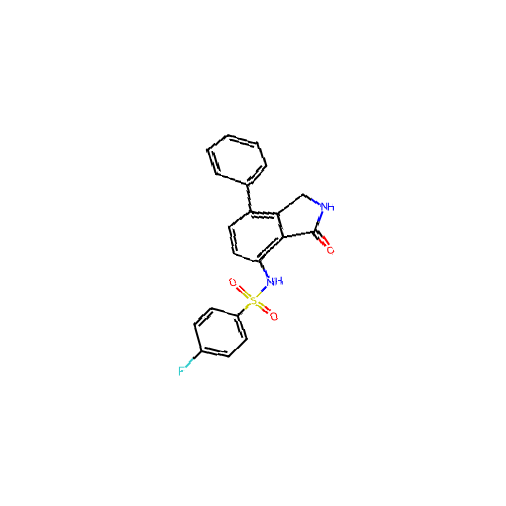 O=C1NCc2c(-c3ccccc3)ccc(NS(=O)(=O)c3ccc(F)cc3)c21